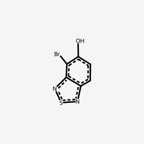 Oc1ccc2nsnc2c1Br